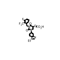 CCn1cnc2cc(-n3cc(OC(=O)O)c(=O)n(Cc4cccc(F)c4C(F)(F)F)c3=O)ccc21